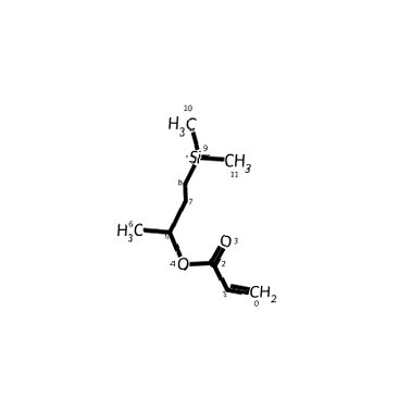 C=CC(=O)OC(C)CC[Si](C)C